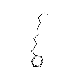 CCCCCCCOc1ccccc1